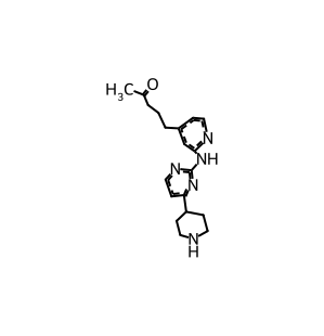 CC(=O)CCCc1ccnc(Nc2nccc(C3CCNCC3)n2)c1